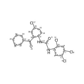 O=C(Nc1cc(Cl)c(Cl)cc1Cl)Nc1ccc(Cl)cc1C(=O)c1ccccc1